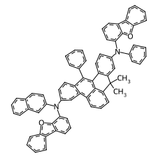 CC1(C)c2cc(N(c3ccccc3)c3cccc4c3oc3ccccc34)ccc2-c2c(-c3ccccc3)c3ccc(N(c4ccc5ccccc5c4)c4cccc5c4oc4ccccc45)cc3c3cccc1c23